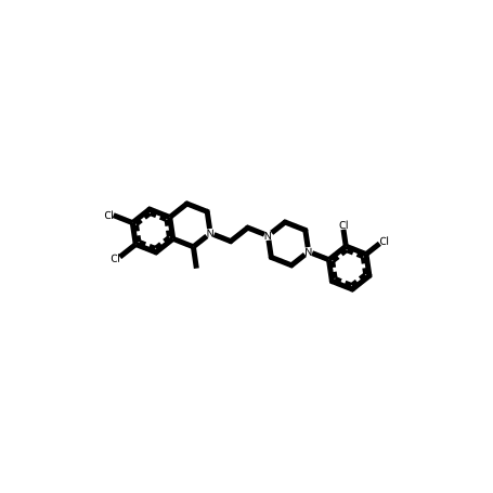 CC1c2cc(Cl)c(Cl)cc2CCN1CCN1CCN(c2cccc(Cl)c2Cl)CC1